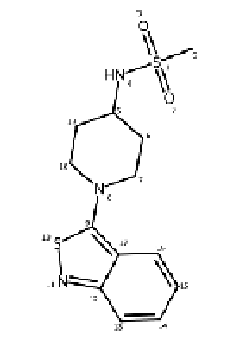 CS(=O)(=O)NC1CCN(c2snc3ccccc23)CC1